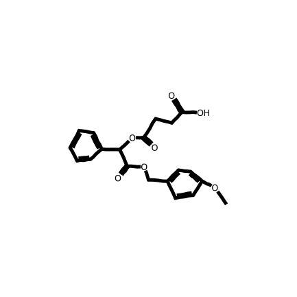 COc1ccc(COC(=O)C(OC(=O)CCC(=O)O)c2ccccc2)cc1